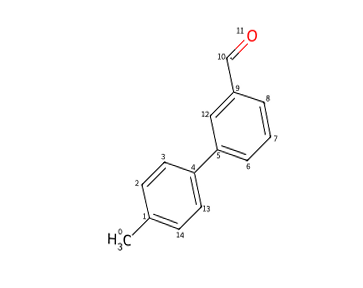 Cc1ccc(-c2cccc([C]=O)c2)cc1